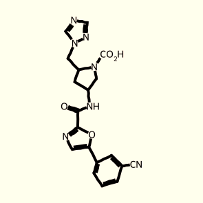 N#Cc1cccc(-c2cnc(C(=O)NC3CC(Cn4cncn4)N(C(=O)O)C3)o2)c1